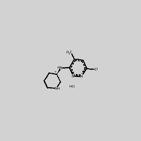 Cc1cc(Cl)nnc1N[C@@H]1CCCNC1.Cl